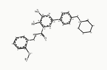 CCOc1ccccc1CNC(=O)c1nc(-c2ccc(CN3CCCCC3)cc2)nc(O)c1O